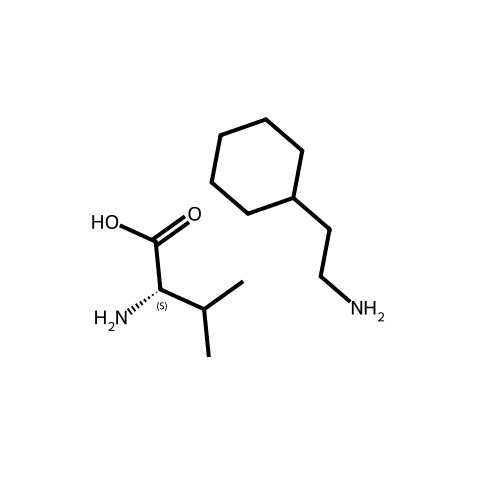 CC(C)[C@H](N)C(=O)O.NCCC1CCCCC1